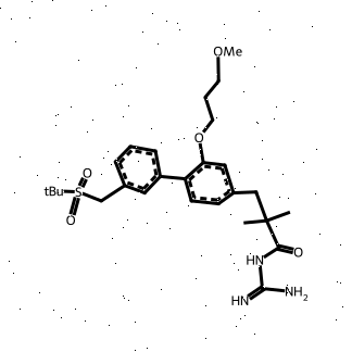 COCCCOc1cc(CC(C)(C)C(=O)NC(=N)N)ccc1-c1cccc(CS(=O)(=O)C(C)(C)C)c1